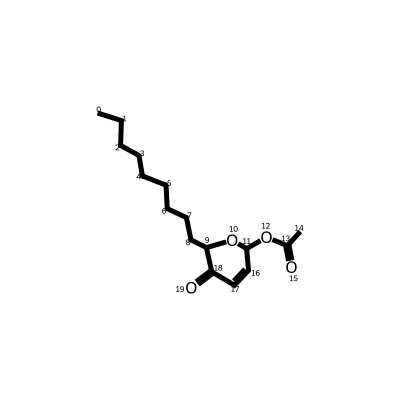 CCCCCCCCCC1OC(OC(C)=O)C=CC1=O